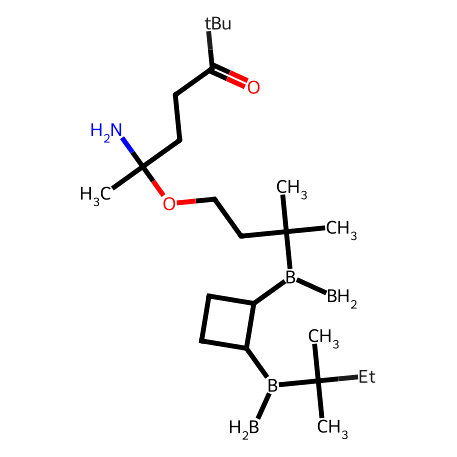 BB(C1CCC1B(B)C(C)(C)CCOC(C)(N)CCC(=O)C(C)(C)C)C(C)(C)CC